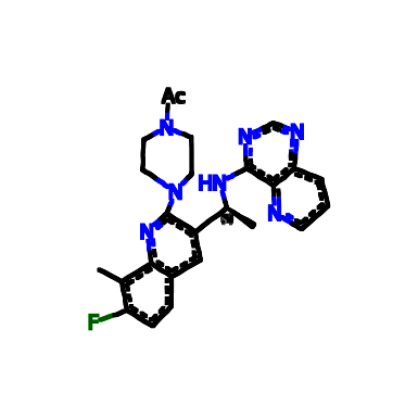 CC(=O)N1CCN(c2nc3c(C)c(F)ccc3cc2[C@H](C)Nc2ncnc3cccnc23)CC1